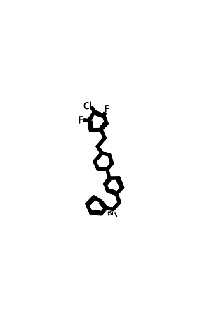 C[C@@H](Cc1ccc(C2CCC(CCc3cc(F)c(Cl)c(F)c3)CC2)cc1)c1ccccc1